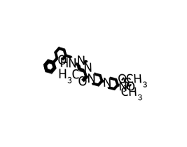 Cc1c(NCC2CCCC(c3ccccc3)O2)ncnc1C(=O)N1CCC(N2CCC(N(C)S(C)(=O)=O)CC2)CC1